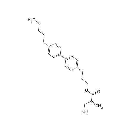 C=C(CO)C(=O)OCCCc1ccc(-c2ccc(CCCCC)cc2)cc1